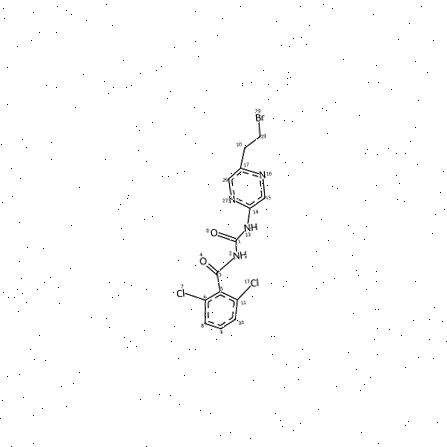 O=C(NC(=O)c1c(Cl)cccc1Cl)Nc1cnc(CCBr)cn1